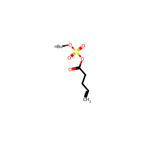 C=CCCC(=O)OS(=O)(=O)OCCCC